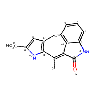 CC(=C1C(=O)Nc2ccccc21)c1[nH]c(C(=O)O)cc1C